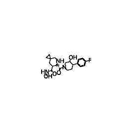 O=C(NO)C1CC2(CC2)CN[C@@H]1C(=O)N1CCC(c2ccc(F)cc2)C(O)C1